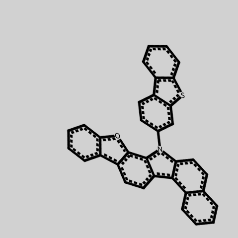 c1ccc2c(c1)ccc1c2c2ccc3c4ccccc4oc3c2n1-c1ccc2c(c1)sc1ccccc12